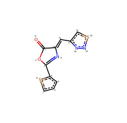 O=C1OC(c2cccs2)=NC1=Cc1csnn1